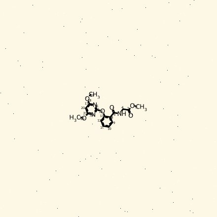 COC(=O)CNC(=O)c1ccccc1Oc1nc(OC)cc(OC)n1